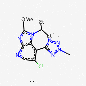 CCC(CC)n1c(OC)nc2ncc(Cl)c(-c3nnn(C)n3)c21